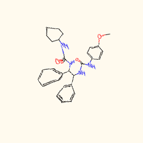 COc1ccc(NC(=O)NC(c2ccccc2)C(NC(=O)NC2CCCCC2)c2ccccc2)cc1